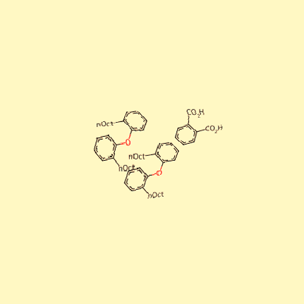 CCCCCCCCc1ccccc1Oc1ccccc1CCCCCCCC.CCCCCCCCc1ccccc1Oc1ccccc1CCCCCCCC.O=C(O)c1ccccc1C(=O)O